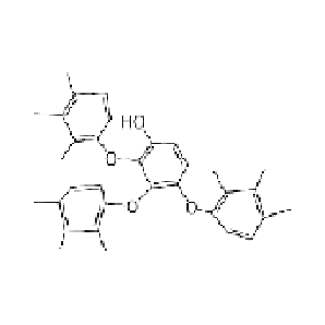 Cc1ccc(Oc2ccc(O)c(Oc3ccc(C)c(C)c3C)c2Oc2ccc(C)c(C)c2C)c(C)c1C